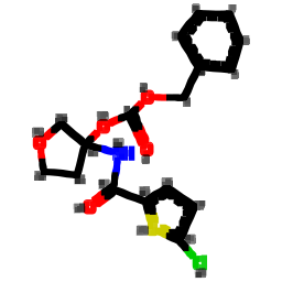 O=C(OCc1ccccc1)OC1(NC(=O)c2ccc(Cl)s2)CCOC1